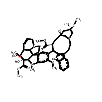 CC[C@]1(O)C[C@H]2C[C@H](C(=O)OC)C(c3cc4c(cc3OC)N(C)C3C45CCN4CC=C[C@](CC)(C45)[C@@H](O)[C@]3(O)C(=O)OC)c3[nH]c4ccccc4c3CCN(C2)C1